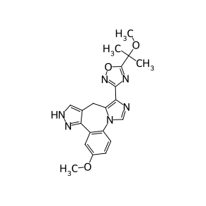 COc1ccc2c(c1)-c1n[nH]cc1Cc1c(-c3noc(C(C)(C)OC)n3)ncn1-2